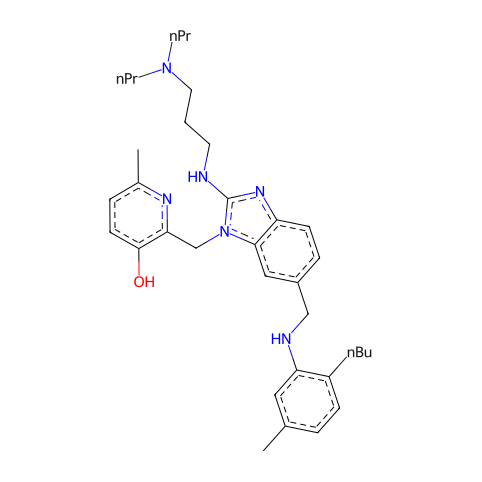 CCCCc1ccc(C)cc1NCc1ccc2nc(NCCCN(CCC)CCC)n(Cc3nc(C)ccc3O)c2c1